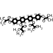 C=C(C)C(=O)Oc1ccc(-c2ccc(-c3ccc(-c4ccc(OC(=O)C(=C)C)cc4)c(OC(=O)/C(C)=C/C)c3)cc2OC(=O)C(=C)C)cc1